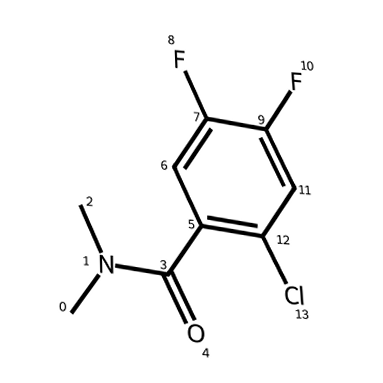 CN(C)C(=O)c1cc(F)c(F)cc1Cl